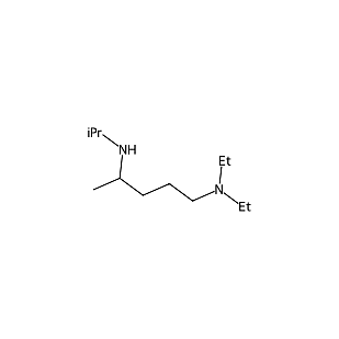 CCN(CC)CCCC(C)NC(C)C